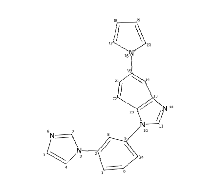 c1cc(-n2ccnc2)cc(-n2cnc3cc(-n4cccc4)ccc32)c1